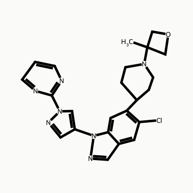 CC1(N2CCC(c3cc4c(cnn4-c4cnn(-c5ncccn5)c4)cc3Cl)CC2)COC1